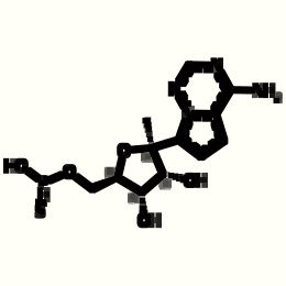 C[C@@]1(c2ccc3c(N)ncnn23)O[C@H](CO[PH](O)=S)[C@@H](O)[C@H]1O